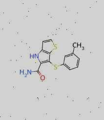 Cc1cccc(Sc2c(C(N)=O)[nH]c3ccsc23)c1